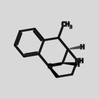 CC1c2ccccc2[C@]23CCN[C@H]1[C@@H]2CCOC3